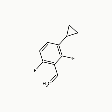 C=Cc1c(F)ccc(C2CC2)c1F